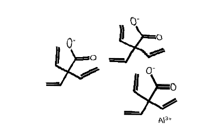 C=CC(C=C)(C=C)C(=O)[O-].C=CC(C=C)(C=C)C(=O)[O-].C=CC(C=C)(C=C)C(=O)[O-].[Al+3]